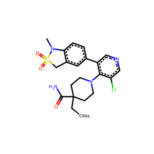 COCC1(C(N)=O)CCN(c2c(Cl)cncc2-c2ccc3c(c2)CS(=O)(=O)N3C)CC1